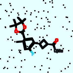 COC(=O)[C@H]1C[C@@H](c2cc(B3OC(C)(C)C(C)(C)O3)c(C)cc2F)C1